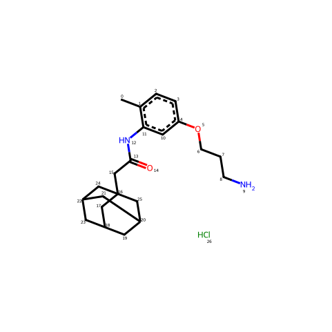 Cc1ccc(OCCCN)cc1NC(=O)CC12CC3CC(CC(C3)C1)C2.Cl